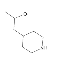 CC([O])CC1CCNCC1